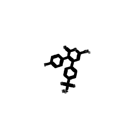 Cc1cc(-c2ccc(S(C)(=O)=O)cc2)c(-c2ccc(F)cc2)c(=O)o1